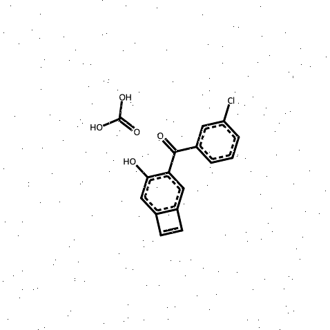 O=C(O)O.O=C(c1cccc(Cl)c1)c1cc2c(cc1O)C=C2